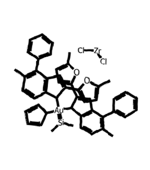 Cc1ccc(C2=Cc3c(ccc(C)c3-c3ccccc3)[CH]2[Au]([CH]2C=CC=C2)([CH]2C(c3ccc(C)o3)=Cc3c2ccc(C)c3-c2ccccc2)=[Si](C)C)o1.[Cl][Zr][Cl]